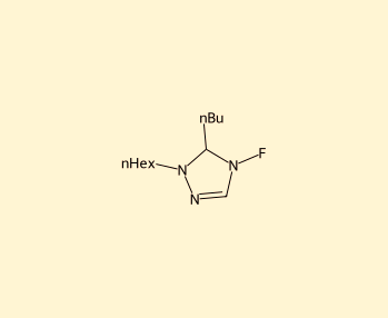 CCCCCCN1N=CN(F)C1CCCC